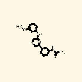 COc1cccc(Nc2cncc(-c3cccc(NC(C)=O)c3)n2)c1